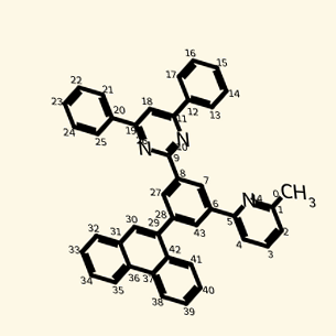 Cc1cccc(-c2cc(-c3nc(-c4ccccc4)cc(-c4ccccc4)n3)cc(-c3cc4ccccc4c4ccccc34)c2)n1